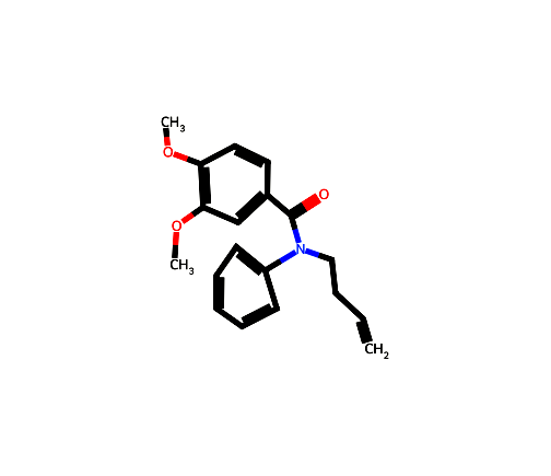 C=CCCN(C(=O)c1ccc(OC)c(OC)c1)c1ccccc1